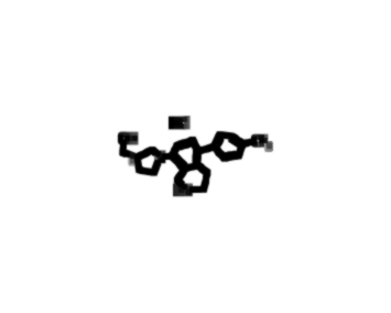 Cl.OC[C@@H]1CCN(c2ccc(-c3ccc(C(F)(F)F)cc3)c3c2CNCC3)C1